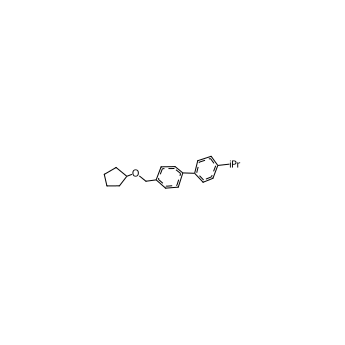 CC(C)c1ccc(-c2ccc(COC3CCCC3)cc2)cc1